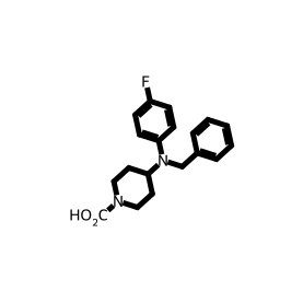 O=C(O)N1CCC(N(Cc2ccccc2)c2ccc(F)cc2)CC1